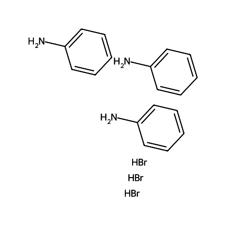 Br.Br.Br.Nc1ccccc1.Nc1ccccc1.Nc1ccccc1